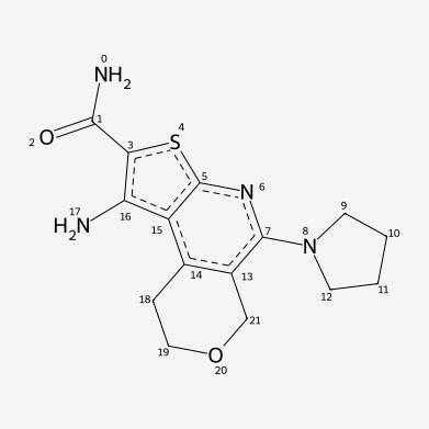 NC(=O)c1sc2nc(N3CCCC3)c3c(c2c1N)CCOC3